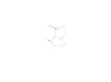 CC(C)Cc1ccc2onc3c2c1OCC=N3